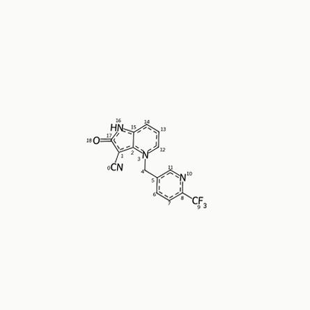 N#Cc1c2n(Cc3ccc(C(F)(F)F)nc3)cccc-2[nH]c1=O